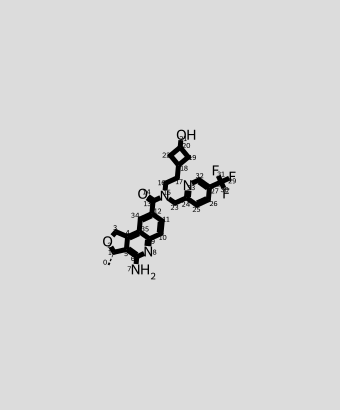 C[C@@H]1OCc2c1c(N)nc1ccc(C(=O)N(CCC3CC(O)C3)Cc3ccc(C(F)(F)F)cn3)cc21